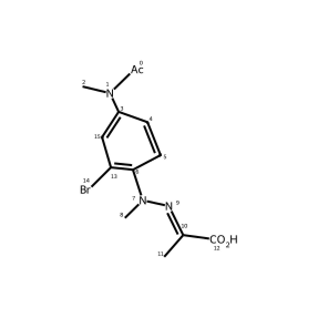 CC(=O)N(C)c1ccc(N(C)N=C(C)C(=O)O)c(Br)c1